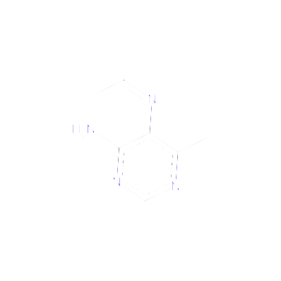 C/C=N\c1c(C)ncnc1N